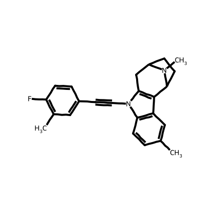 Cc1ccc2c(c1)c1c(n2C#Cc2ccc(F)c(C)c2)CC2CCC1N2C